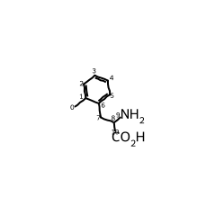 Cc1ccccc1CC(N)C(=O)O